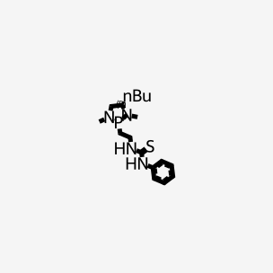 CCCC[C@@H]1CN(C)P(CCNC(=S)Nc2ccccc2)N1C